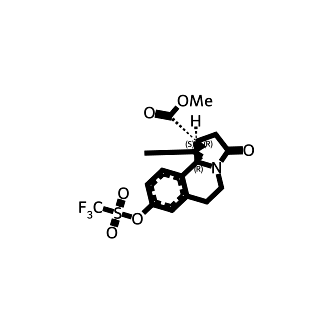 COC(=O)[C@@H]1C(C)C[C@@]23c4ccc(OS(=O)(=O)C(F)(F)F)cc4CCN2C(=O)C[C@@H]13